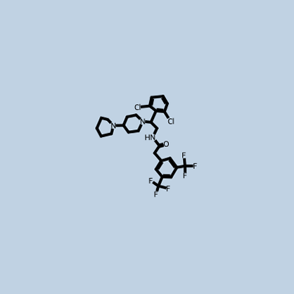 O=C(Cc1cc(C(F)(F)F)cc(C(F)(F)F)c1)NCC(c1c(Cl)cccc1Cl)N1CCC(N2CCCCC2)CC1